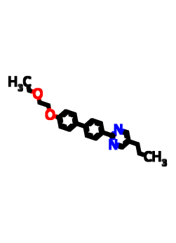 CCCc1cnc(-c2ccc(-c3ccc(OCCOCC)cc3)cc2)nc1